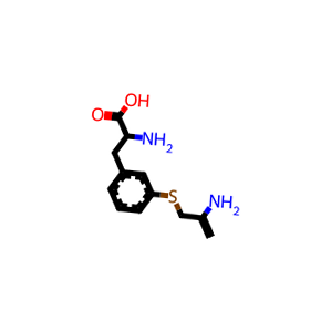 C=C(N)CSc1cccc(CC(N)C(=O)O)c1